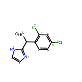 O=CC(c1ncc[nH]1)c1ccc(Cl)cc1Cl